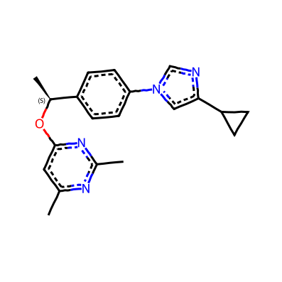 Cc1cc(O[C@@H](C)c2ccc(-n3cnc(C4CC4)c3)cc2)nc(C)n1